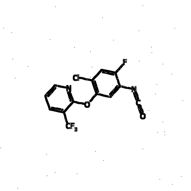 O=C=Nc1cc(Oc2ncccc2C(F)(F)F)c(Cl)cc1F